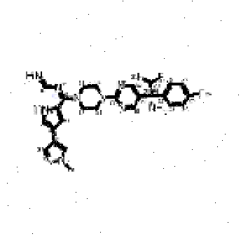 Cn1cc(-c2c[nH]c(/C(=N\C=N)N3CCN(c4ncc([C@](N)(c5ccc(F)cc5)C(F)F)cn4)CC3)c2)cn1